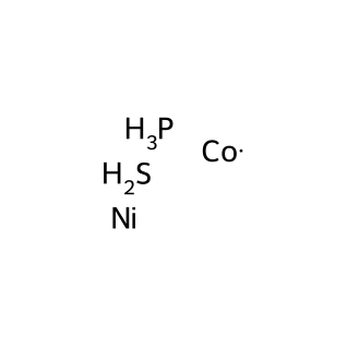 P.S.[Co].[Ni]